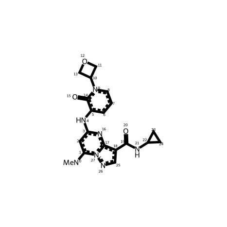 CNc1cc(Nc2cccn(C3COC3)c2=O)nc2c(C(=O)NC3CC3)cnn12